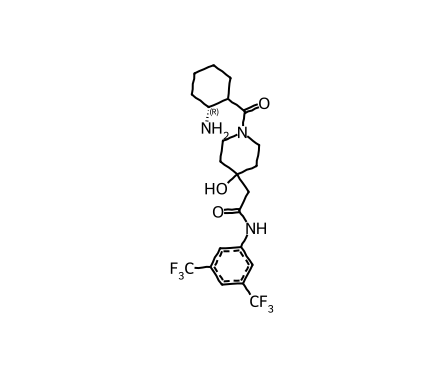 N[C@@H]1CCCCC1C(=O)N1CCC(O)(CC(=O)Nc2cc(C(F)(F)F)cc(C(F)(F)F)c2)CC1